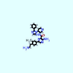 Cc1cc(-c2cnc(N)c(C(=O)Nc3cnccc3-n3ccnc3-c3ccccc3)n2)ccc1CCN